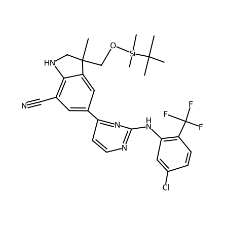 CC1(CO[Si](C)(C)C(C)(C)C)CNc2c(C#N)cc(-c3ccnc(Nc4cc(Cl)ccc4C(F)(F)F)n3)cc21